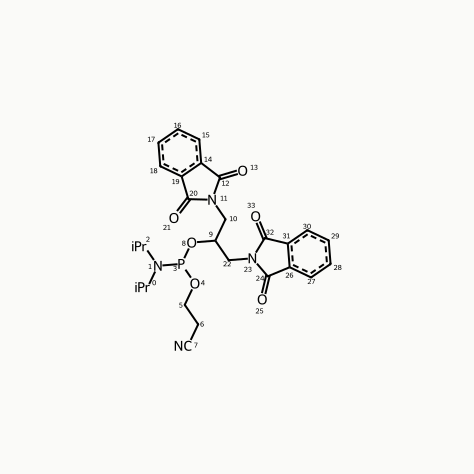 CC(C)N(C(C)C)P(OCCC#N)OC(CN1C(=O)c2ccccc2C1=O)CN1C(=O)c2ccccc2C1=O